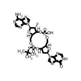 CC(C)(C)SP1(=O)OC[C@H]2O[C@@H](n3cnc4c(N)ncnc43)[C@H](F)[C@@H]2OP(=O)(O)OC[C@H]2O[C@@H](n3cnc4c(=O)[nH]cnc43)C[C@@H]2O1